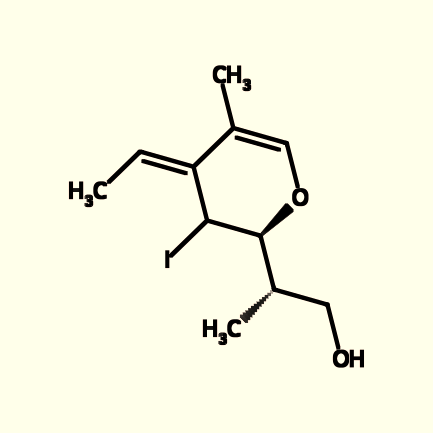 C/C=C1/C(C)=CO[C@@H]([C@@H](C)CO)C1I